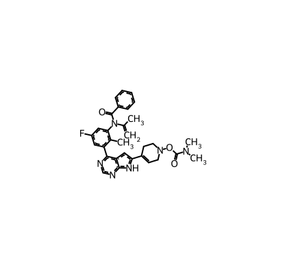 C=C(C)N(C(=O)c1ccccc1)c1cc(F)cc(-c2ncnc3[nH]c(C4=CCN(OC(=O)N(C)C)CC4)cc23)c1C